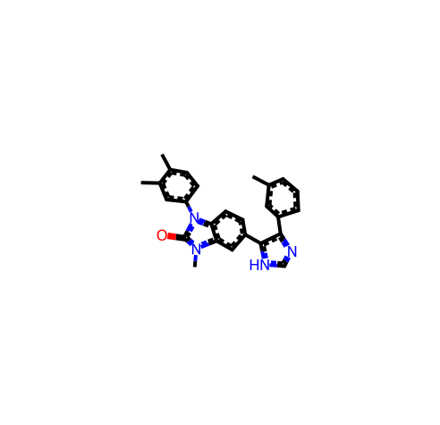 Cc1cccc(-c2nc[nH]c2-c2ccc3c(c2)n(C)c(=O)n3-c2ccc(C)c(C)c2)c1